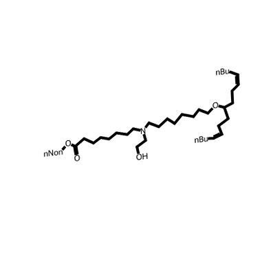 CCCC/C=C\CCC(CC/C=C\CCCC)OCCCCCCCCN(CCO)CCCCCCCC(=O)OCCCCCCCCC